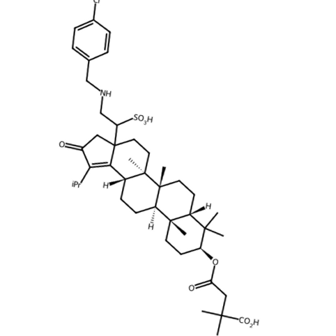 CC(C)C1=C2[C@H]3CC[C@@H]4[C@@]5(C)CC[C@H](OC(=O)CC(C)(C)C(=O)O)C(C)(C)[C@H]5CC[C@@]4(C)[C@]3(C)CCC2(C(CNCc2ccc(Cl)cc2)S(=O)(=O)O)CC1=O